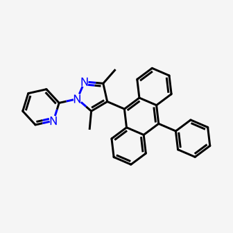 Cc1nn(-c2ccccn2)c(C)c1-c1c2ccccc2c(-c2ccccc2)c2ccccc12